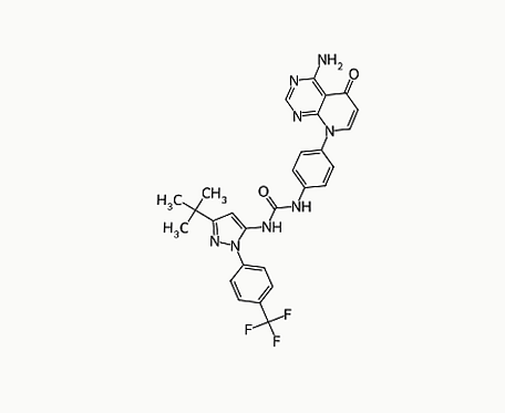 CC(C)(C)c1cc(NC(=O)Nc2ccc(-n3ccc(=O)c4c(N)ncnc43)cc2)n(-c2ccc(C(F)(F)F)cc2)n1